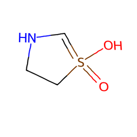 O=S1(O)=CNCC1